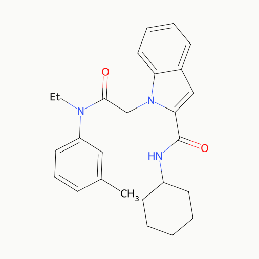 CCN(C(=O)Cn1c(C(=O)NC2CCCCC2)cc2ccccc21)c1cccc(C)c1